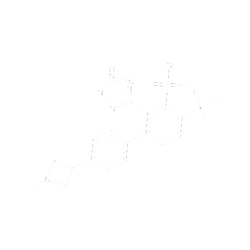 CN1CC(c2ccc(-c3ccc(C(F)(F)F)c(S(N)(=O)=O)c3-c3nn[nH]n3)cc2)C1